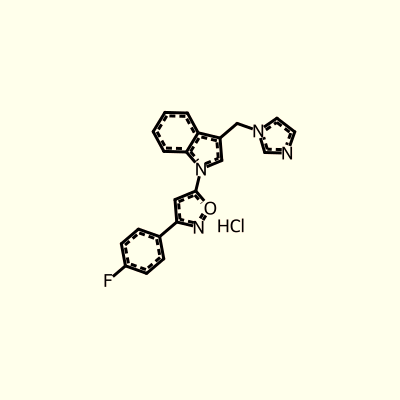 Cl.Fc1ccc(-c2cc(-n3cc(Cn4ccnc4)c4ccccc43)on2)cc1